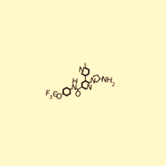 Cc1ccc(-c2cc(C(=O)Nc3ccc(OC(F)(F)F)cc3)cnc2N2CC[C@@H](N)C2)cn1